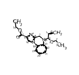 C=CC(OCC)N1Cc2nc(C(=O)OCC)cn2-c2ccccc21